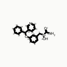 NC(=O)N(O)Cc1cccc(OC(c2ccccc2)c2cccnc2)c1